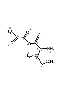 CC[C@H](C)[C@H](N)C(=O)OC(=O)C(C)=O